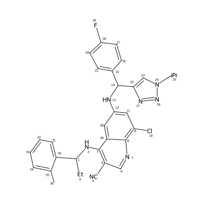 CCC(Nc1c(C#N)cnc2c(Cl)cc(NC(c3ccc(F)cc3)c3cn(C(C)C)nn3)cc12)c1ccccc1C